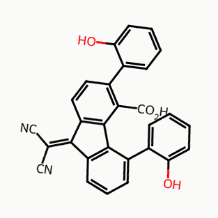 N#CC(C#N)=C1c2cccc(-c3ccccc3O)c2-c2c1ccc(-c1ccccc1O)c2C(=O)O